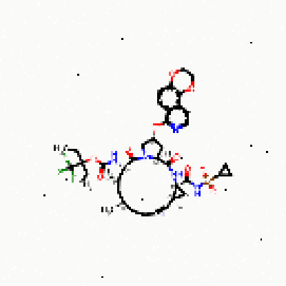 CCC(CC)(OC(=O)N[C@@H]1C(=O)N2C[C@H](Oc3nccc4c5c(ccc34)OCCO5)C[C@H]2C(=O)N[C@]2(C(=O)NS(=O)(=O)C3CC3)C[C@H]2/C=C\CC[C@@H](C)C[C@H]1C)C(F)(F)F